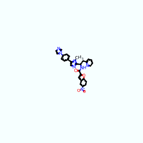 Cn1c(-c2ccc(-n3ccnc3)cc2)cnc1C(Cc1ccccn1)NC(=O)c1cc2cc([N+](=O)[O-])ccc2o1